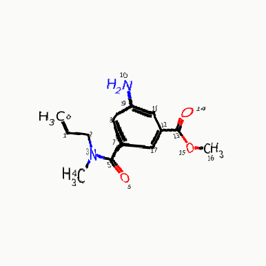 CCCN(C)C(=O)c1cc(N)cc(C(=O)OC)c1